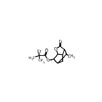 CCC(C)(C(=O)OC1C2CC3C1OC(=O)C3C2C)C(F)(F)F